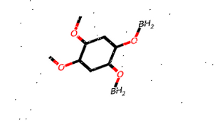 BOC1CC(OC)C(OC)CC1OB